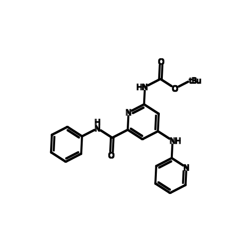 CC(C)(C)OC(=O)Nc1cc(Nc2ccccn2)cc(C(=O)Nc2ccccc2)n1